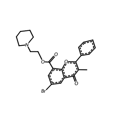 Cc1c(-c2ccccc2)oc2c(C(=O)OCCN3CCCCC3)cc(Br)cc2c1=O